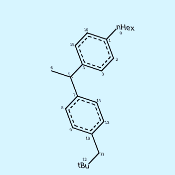 CCCCCCc1ccc([C](C)c2ccc(CC(C)(C)C)cc2)cc1